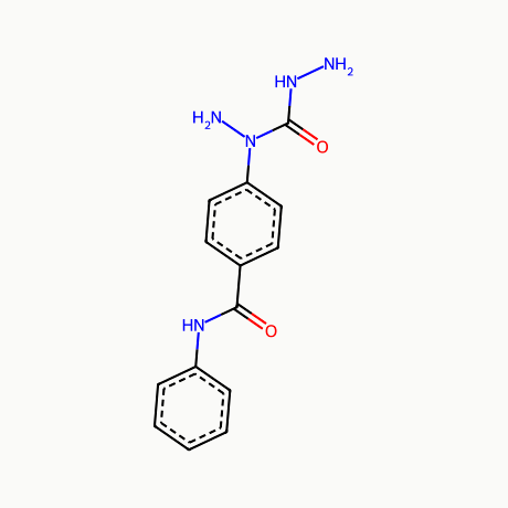 NNC(=O)N(N)c1ccc(C(=O)Nc2ccccc2)cc1